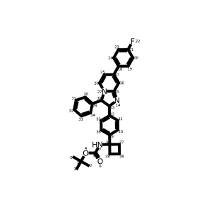 CC(C)(C)OC(=O)NC1(c2ccc(C3N=C4C=C(c5ccc(F)cc5)C=CN4C3c3ccccc3)cc2)CCC1